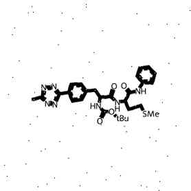 CSCCC(NC(=O)C(Cc1ccc(-c2nnc(C)nn2)cc1)NC(=O)OC(C)(C)C)C(=O)Nc1ccccc1